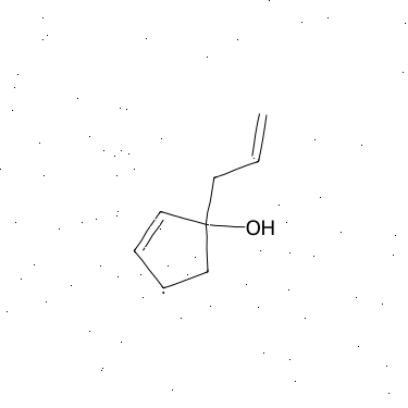 C=CCC1(O)C=C[CH]C1